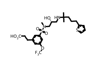 CN(C[C@H](O)CNC(C)(C)CCCc1cccs1)S(=O)(=O)c1cc(CCC(=O)O)cc(OC(F)(F)F)c1